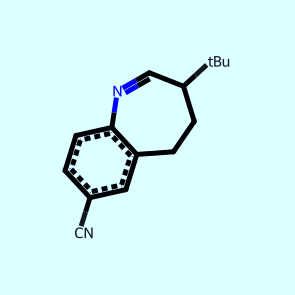 CC(C)(C)C1C=Nc2ccc(C#N)cc2CC1